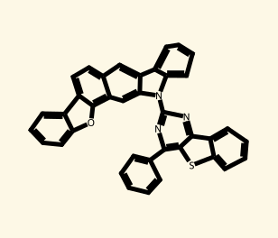 c1ccc(-c2nc(-n3c4ccccc4c4cc5ccc6c7ccccc7oc6c5cc43)nc3c2sc2ccccc23)cc1